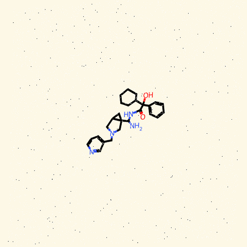 NC(NC(=O)C(O)(c1ccccc1)C1CCCCC1)C12CC1CN(Cc1cccnc1)C2